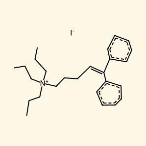 CCC[N+](CCC)(CCC)CCCC=C(c1ccccc1)c1ccccc1.[I-]